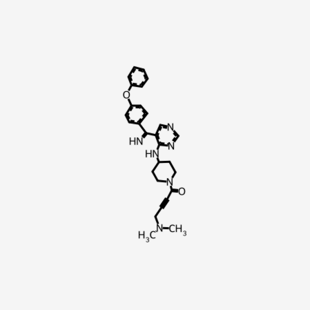 CN(C)CC#CC(=O)N1CCC(Nc2ncncc2C(=N)c2ccc(Oc3ccccc3)cc2)CC1